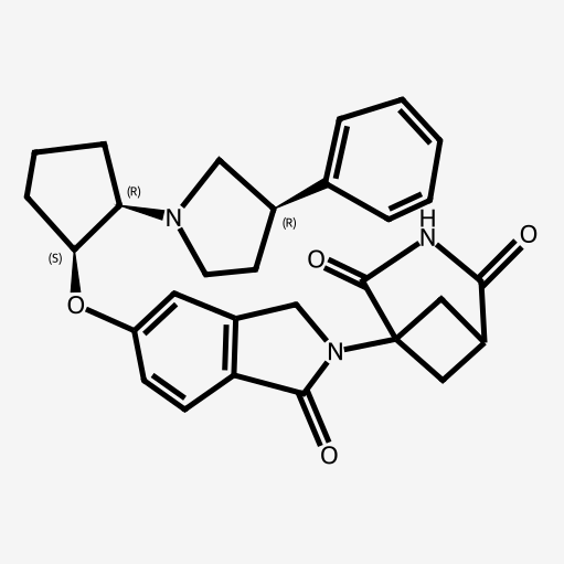 O=C1NC(=O)C2(N3Cc4cc(O[C@H]5CCC[C@H]5N5CC[C@H](c6ccccc6)C5)ccc4C3=O)CC1C2